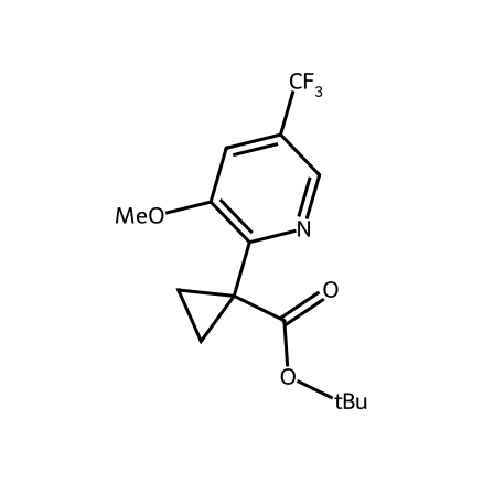 COc1cc(C(F)(F)F)cnc1C1(C(=O)OC(C)(C)C)CC1